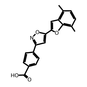 Cc1ccc(C)c2oc(-c3cc(-c4ccc(C(=O)O)cc4)no3)cc12